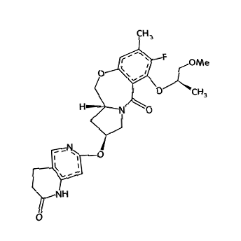 COC[C@@H](C)Oc1c(F)c(C)cc2c1C(=O)N1C[C@@H](Oc3cc4c(cn3)CCC(=O)N4)C[C@@H]1CO2